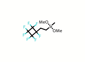 CO[Si](C)(CCC1(F)C(F)(F)C(F)(F)C1(F)F)OC